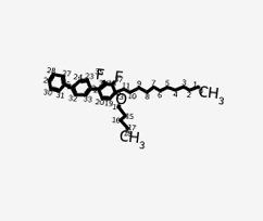 CCCCCCCCCCCCC1(OCCCCC)C=CC(c2ccc(-c3ccccc3)cc2)=C(F)C1F